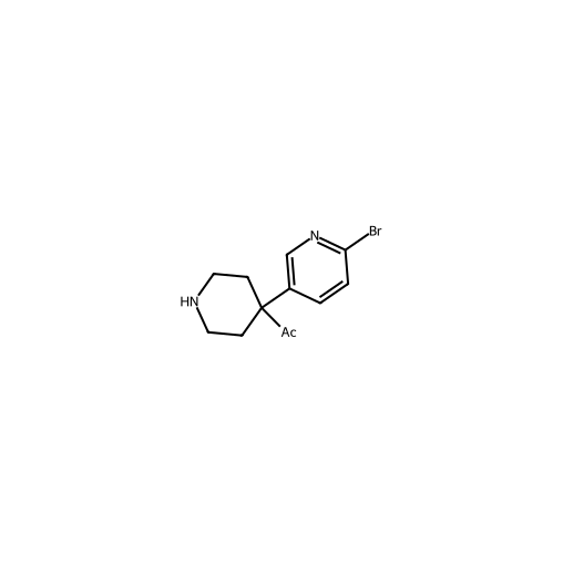 CC(=O)C1(c2ccc(Br)nc2)CCNCC1